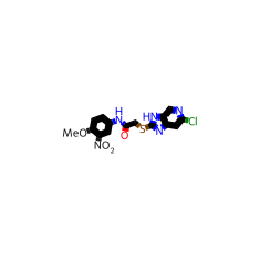 COc1ccc(NC(=O)CSc2nc3cc(Cl)ncc3[nH]2)cc1[N+](=O)[O-]